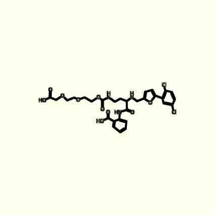 O=C(O)COCCOCCOC(=O)NCCC(NCc1ccc(-c2cc(Cl)ccc2Cl)o1)C(=O)Nc1ccccc1C(=O)O